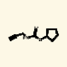 C#CCNC(=O)OC1CCCC1